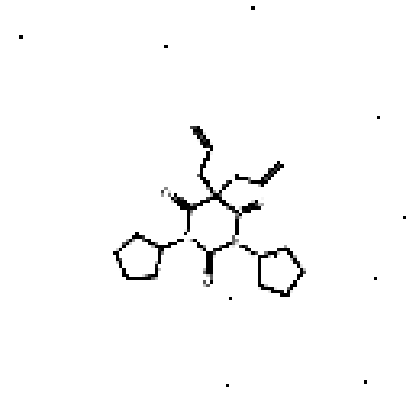 C=CCC1(CC=C)C(=O)N(C2CCCC2)C(=O)N(C2CCCC2)C1=O